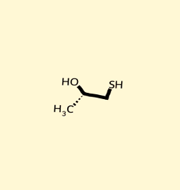 C[C@H](O)CS